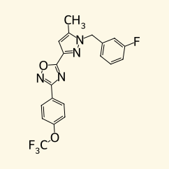 Cc1cc(-c2nc(-c3ccc(OC(F)(F)F)cc3)no2)nn1Cc1cccc(F)c1